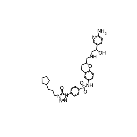 Nc1ccc(C(O)CNCC2CCc3cc(NS(=O)(=O)c4ccc(-n5nnn(CCCC6CCCC6)c5=O)cc4)ccc3O2)cn1